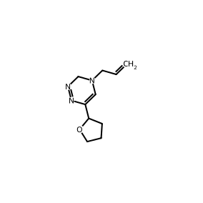 C=CCN1C=C(C2CCCO2)N=NC1